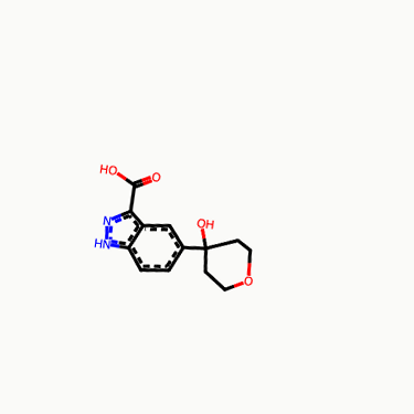 O=C(O)c1n[nH]c2ccc(C3(O)CCOCC3)cc12